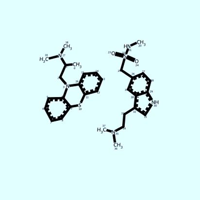 CC(CN1c2ccccc2Sc2ccccc21)N(C)C.CNS(=O)(=O)Cc1ccc2[nH]cc(CCN(C)C)c2c1